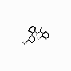 Nc1nccnc1C(=O)Nc1cccnc1N1CCCC(N)C1